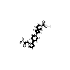 CN(C)C(=O)CN1CCCC1C1CCN(C2CC3(CCN(C(=O)O)C3)C2)CC1